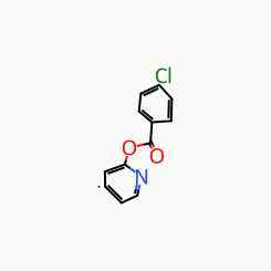 O=C(Oc1c[c]ccn1)c1ccc(Cl)cc1